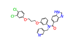 O=C(c1ccc2[nH]cnc2c1)N(Cc1cccnc1)c1cccc(OCCCOc2ccc(Cl)c(Cl)c2)c1